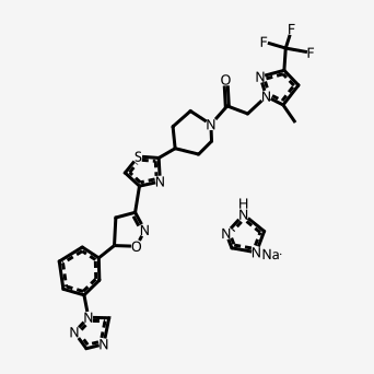 Cc1cc(C(F)(F)F)nn1CC(=O)N1CCC(c2nc(C3=NOC(c4cccc(-n5cncn5)c4)C3)cs2)CC1.[Na].c1nc[nH]n1